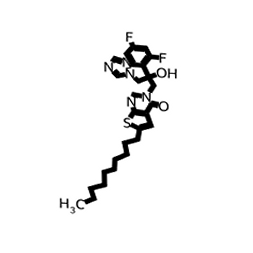 CCCCCCCCCCc1cc2c(=O)n(CC(O)(Cn3cncn3)c3ccc(F)cc3F)cnc2s1